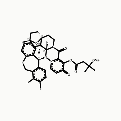 COC(C)(C)CC(=O)Oc1c2n(ccc1=O)N([C@@H]1c3ccccc3SCc3c1ccc(F)c3F)[C@@H]1[C@H]3C[C@@H]4CC[C@@]3(CCN1C2=O)O4